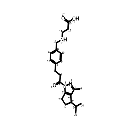 Cc1nn(C(=O)CCc2ccc(CNCCC(=O)O)cc2)c2c1C(C(C)C)CC2